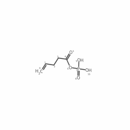 C=CCCC(=O)OP(=O)(O)O